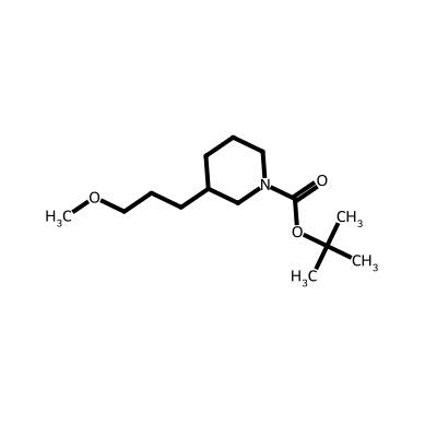 COCCCC1CCCN(C(=O)OC(C)(C)C)C1